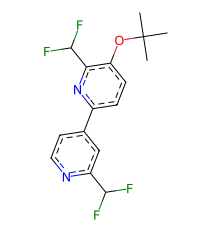 CC(C)(C)Oc1ccc(-c2ccnc(C(F)F)c2)nc1C(F)F